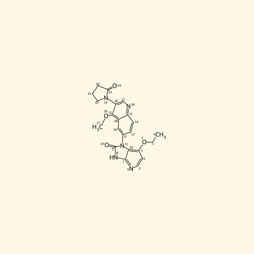 CCOc1ccnc2[nH]c(=O)n(-c3ccc4ncc(N5CCCC5=O)c(OC)c4c3)c12